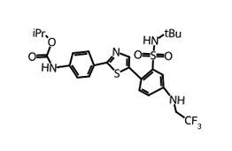 CC(C)OC(=O)Nc1ccc(-c2ncc(-c3ccc(NCC(F)(F)F)cc3S(=O)(=O)NC(C)(C)C)s2)cc1